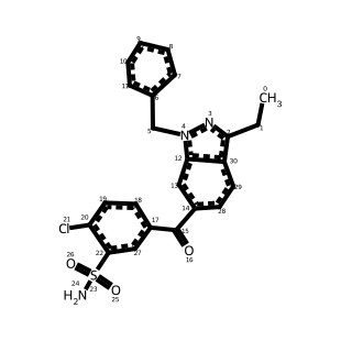 CCc1nn(Cc2ccccc2)c2cc(C(=O)c3ccc(Cl)c(S(N)(=O)=O)c3)ccc12